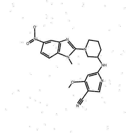 COc1cc(NC2CCCN(c3nc4cc([N+](=O)[O-])ccc4n3C)C2)ncc1C#N